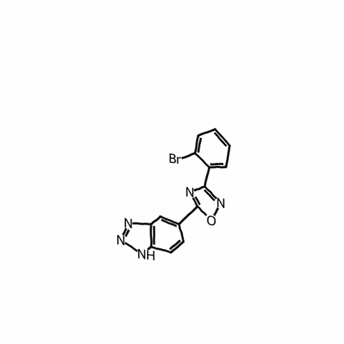 Brc1ccccc1-c1noc(-c2ccc3[nH]nnc3c2)n1